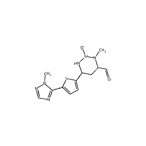 CN1C(C=O)CC(c2ccc(-c3ncnn3C)s2)N[S+]1[O-]